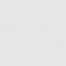 CSc1ncc2c(n1)N(C)CCN(c1cccc(OC3CCN(C(=O)OC(C)(C)C)C3)c1)C2=O